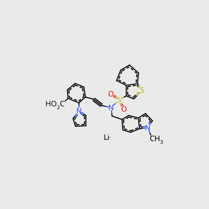 Cn1ccc2cc(CN(C#Cc3cccc(C(=O)O)c3-n3cccc3)S(=O)(=O)c3csc4ccccc34)ccc21.[Li]